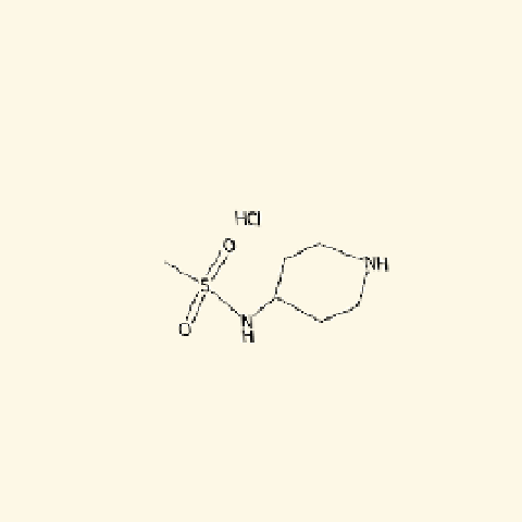 CS(=O)(=O)NC1CCNCC1.Cl